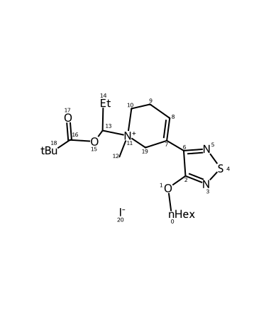 CCCCCCOc1nsnc1C1=CCC[N+](C)(C(CC)OC(=O)C(C)(C)C)C1.[I-]